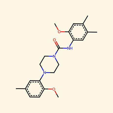 COc1cc(C)c(C)cc1NC(=O)N1CCN(c2cc(C)ccc2OC)CC1